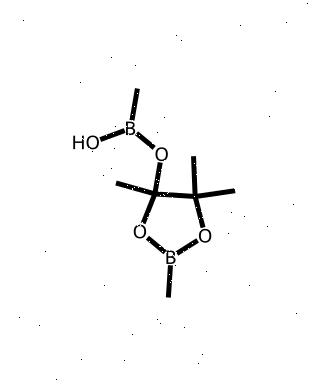 CB(O)OC1(C)OB(C)OC1(C)C